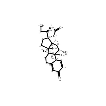 CCCC(=O)O[C@@]1(C(=O)CO)CC[C@H]2[C@@H]3CCC4=CC(=O)C=C[C@]4(C)[C@H]3[C@@H](O)C[C@@]21C